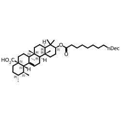 CCCCCCCCCCCCCCCCCC(=O)O[C@H]1CC[C@]2(C)[C@H]3CC=C4[C@@H]5[C@@H](C)[C@H](C)CC[C@]5(C(=O)O)CC[C@@]4(C)[C@]3(C)CC[C@H]2C1(C)C